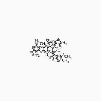 CCN(CC)C(Cc1ccc2c(c1)[Si]1(CCCCC1)c1cc(CC(N(CC)CC)N3C(=O)C=CC3=O)ccc1C21OC(=O)c2cc(Br)c(C(N)=O)cc21)N1C(=O)C=CC1=O